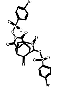 O=C1C2C=CC3C(C4C(=O)N(OS(=O)(=O)c5ccc(Br)cc5)C(=O)C24)C1C(OS(=O)(=O)c1ccc(Br)cc1)[N+]3=O